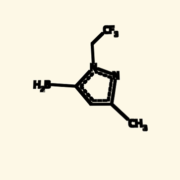 Bc1cc(C)nn1CC(F)(F)F